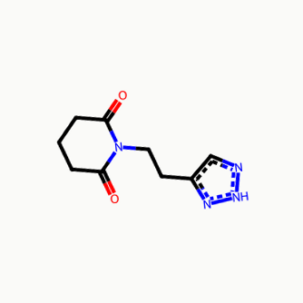 O=C1CCCC(=O)N1CCc1cn[nH]n1